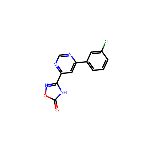 O=c1[nH]c(-c2cc(-c3cccc(Cl)c3)ncn2)no1